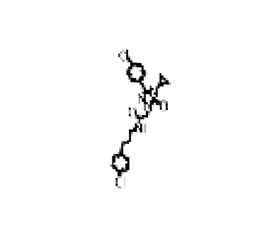 O=C(Cn1nc(-c2ccc(Cl)cc2)n(C2CC2)c1=O)NCCCc1ccc(Cl)cc1